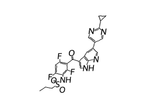 CCCS(=O)(=O)Nc1c(F)cc(F)c(C(=O)c2c[nH]c3ncc(-c4cnc(C5CC5)nc4)cc23)c1F